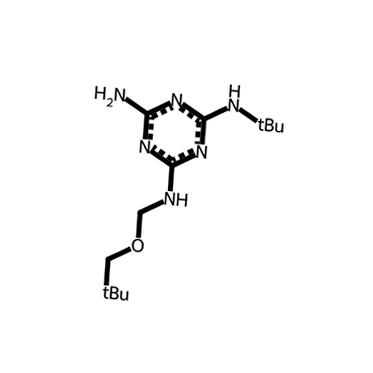 CC(C)(C)COCNc1nc(N)nc(NC(C)(C)C)n1